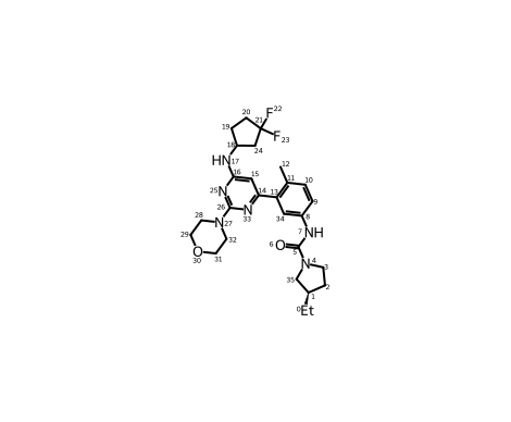 CC[C@@H]1CCN(C(=O)Nc2ccc(C)c(-c3cc(NC4CCC(F)(F)C4)nc(N4CCOCC4)n3)c2)C1